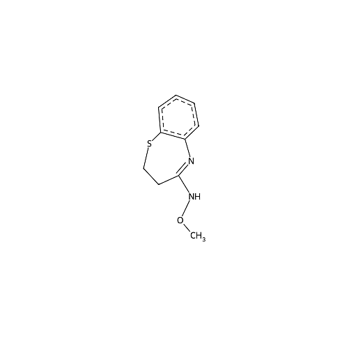 CONC1=Nc2ccccc2SCC1